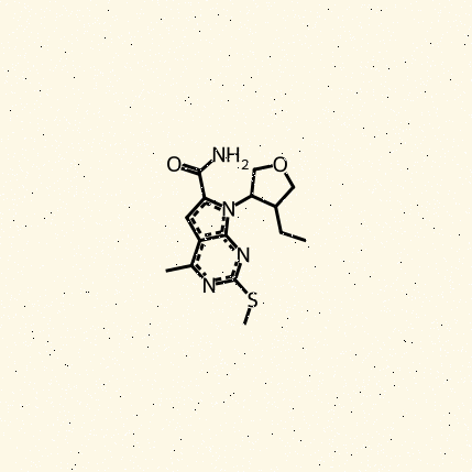 CCC1COCC1n1c(C(N)=O)cc2c(C)nc(SC)nc21